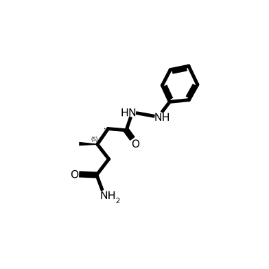 C[C@@H]([CH]C(=O)NNc1ccccc1)CC(N)=O